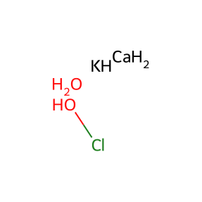 O.OCl.[CaH2].[KH]